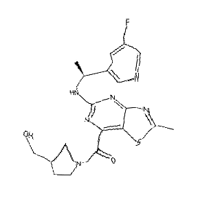 Cc1nc2nc(N[C@@H](C)c3cncc(F)c3)nc(C(=O)N3CCC(CO)C3)c2s1